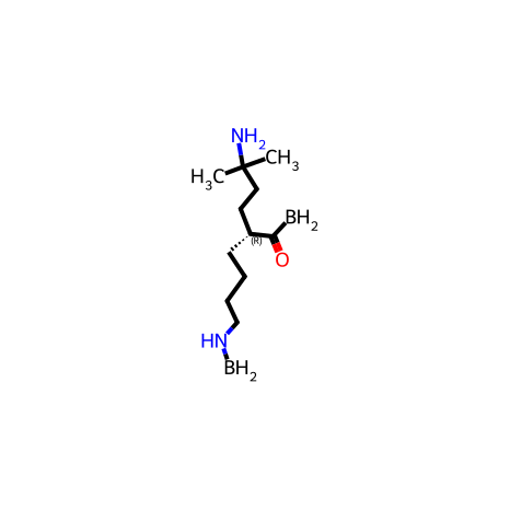 BNCCCC[C@H](CCC(C)(C)N)C(B)=O